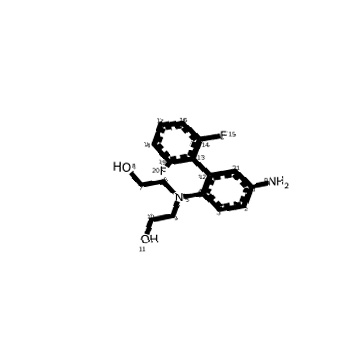 Nc1ccc(N(CCO)CCO)c(-c2c(F)cccc2F)c1